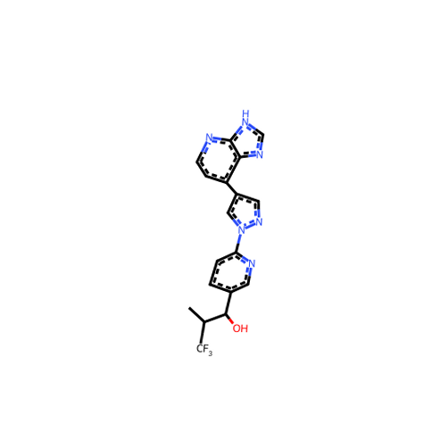 CC(C(O)c1ccc(-n2cc(-c3ccnc4[nH]cnc34)cn2)nc1)C(F)(F)F